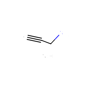 C#CCN.[NaH]